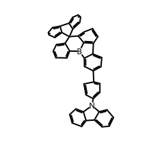 c1ccc2c(c1)B1c3cc(-c4ccc(-n5c6ccccc6c6ccccc65)cc4)ccc3-c3cccc(c31)C21c2ccccc2-c2ccccc21